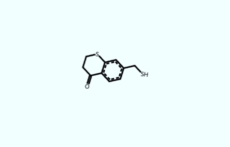 O=C1CCSc2cc(CS)ccc21